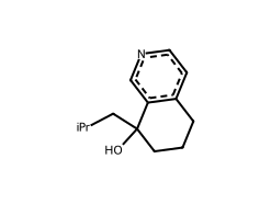 CC(C)CC1(O)CCCc2ccncc21